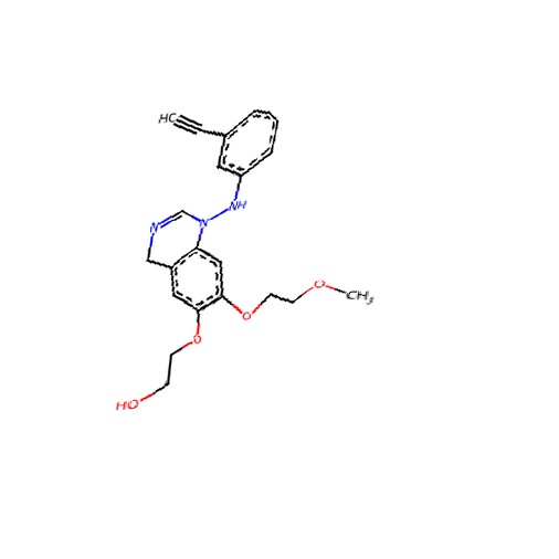 C#Cc1cccc(NN2C=NCc3cc(OCCO)c(OCCOC)cc32)c1